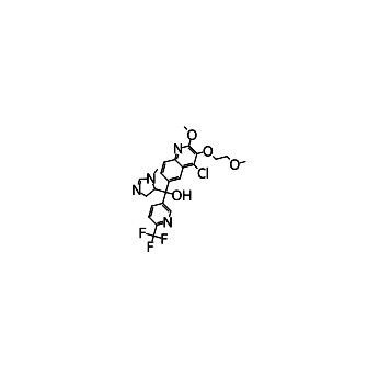 COCCOc1c(OC)nc2ccc(C(O)(c3ccc(C(F)(F)F)nc3)C3CN=CN3C)cc2c1Cl